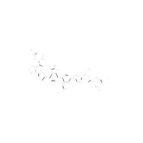 COC(=O)N[C@H](C(=O)N1CCC[C@H]1c1ncc(-c2ccc(-c3ccc(-c4cnc([C@@H]5CCCN5C(=O)[C@@H](NC(=O)OC)C(C)C)[nH]4)c4cc(C)[nH]c34)c(C=C(C)C)c2C)[nH]1)C(C)C